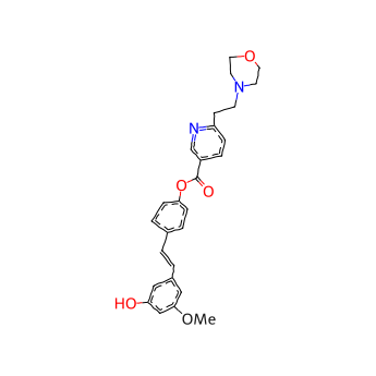 COc1cc(O)cc(/C=C/c2ccc(OC(=O)c3ccc(CCN4CCOCC4)nc3)cc2)c1